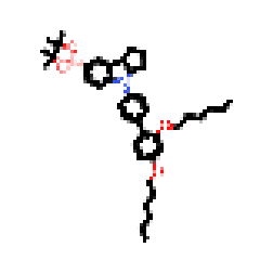 CCCCCCOc1ccc(-c2ccc(N3c4ccc(B5OC(C)(C)C(C)(C)O5)cc4C4CCCC43)cc2)c(OCCCCCC)c1